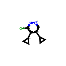 Clc1nncc(C2CC2)c1C1CC1